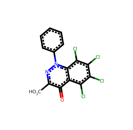 O=C(O)c1nn(-c2ccccc2)c2c(Cl)c(Cl)c(Cl)c(Cl)c2c1=O